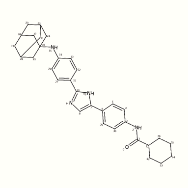 O=C(Nc1ccc(-c2cnc(-c3ccc(NC45CC6CC(CC(C6)C4)C5)cc3)[nH]2)cc1)C1CCCCC1